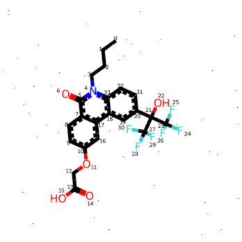 CCCCn1c(=O)c2ccc(OCC(=O)O)cc2c2cc(C(O)(C(F)(F)F)C(F)(F)F)ccc21